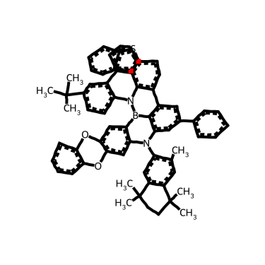 Cc1cc2c(cc1N1c3cc4c(cc3B3c5c(cc(-c6ccccc6)cc51)-c1ccc5sc6ccccc6c5c1N3c1ccc(C(C)(C)C)cc1-c1ccccc1)Oc1ccccc1O4)C(C)(C)CCC2(C)C